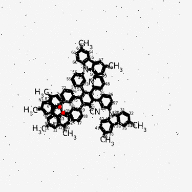 Cc1ccc2c(c1)c1cc(C)ccc1n2-c1cccc(-c2c(C#N)c(-c3cccc(-n4c5ccc(C)cc5c5cc(C)ccc54)c3)c(-c3ccccn3)c(-c3cccc(-n4c5ccc(C)cc5c5cc(C)ccc54)c3)c2-c2cccc(-n3c4ccc(C)cc4c4cc(C)ccc43)c2)c1